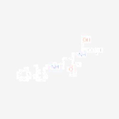 C=C(OCC)/C(=C\C(C)=C\NCc1cccc(-c2ccccc2)c1C)CN[C@H](CO)C(=O)O